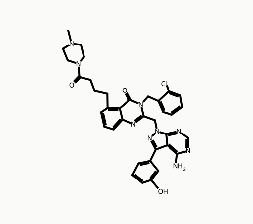 CN1CCN(C(=O)CCCc2cccc3nc(Cn4nc(-c5cccc(O)c5)c5c(N)ncnc54)n(Cc4ccccc4Cl)c(=O)c23)CC1